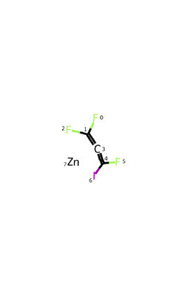 FC(F)=C=C(F)I.[Zn]